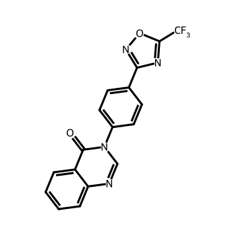 O=c1c2ccccc2ncn1-c1ccc(-c2noc(C(F)(F)F)n2)cc1